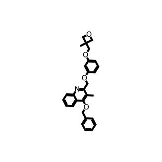 Cc1c(COc2cccc(OCC3(C)COC3)c2)nc2ccccc2c1OCc1ccccc1